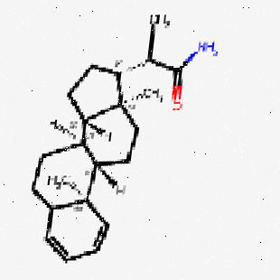 CC(C(N)=O)[C@H]1CC[C@H]2[C@@H]3CCC4C=CC=C[C@]4(C)[C@H]3CC[C@]12C